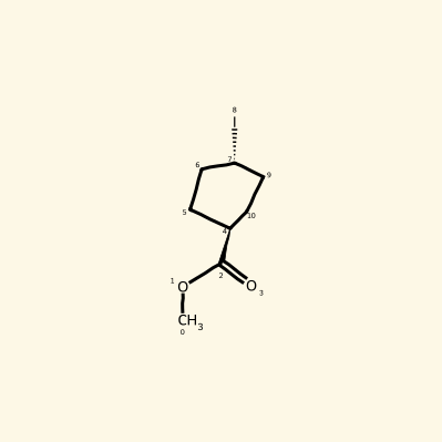 COC(=O)[C@H]1CC[C@H](I)CC1